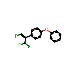 FC=C(c1ccc(Oc2ccccc2)cc1)C(F)F